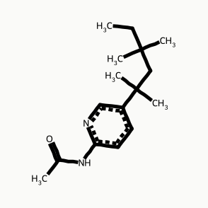 CCC(C)(C)CC(C)(C)c1ccc(NC(C)=O)nc1